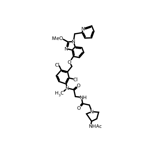 COc1nc2c(OCc3c(Cl)ccc(N(C)C(=O)CNC(=O)CN4CCC(NC(C)=O)C4)c3Cl)cccc2n1Cc1ccccn1